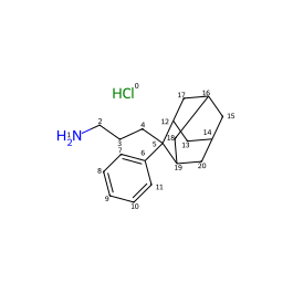 Cl.NCCCC1(c2ccccc2)C2CC3CC(C2)CC1C3